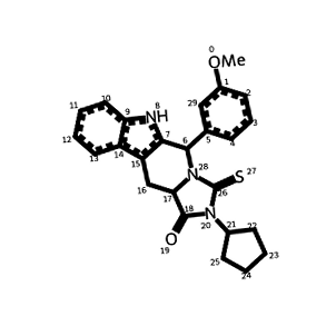 COc1cccc(C2c3[nH]c4ccccc4c3CC3C(=O)N(C4CCCC4)C(=S)N32)c1